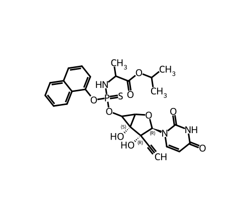 C#C[C@]1(O)[C@H](n2ccc(=O)[nH]c2=O)OC2C(OP(=S)(NC(C)C(=O)OC(C)C)Oc3cccc4ccccc34)[C@@]21O